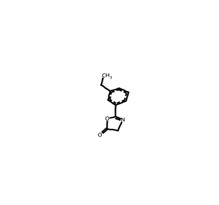 CCc1cccc(C2=NCC(=O)O2)c1